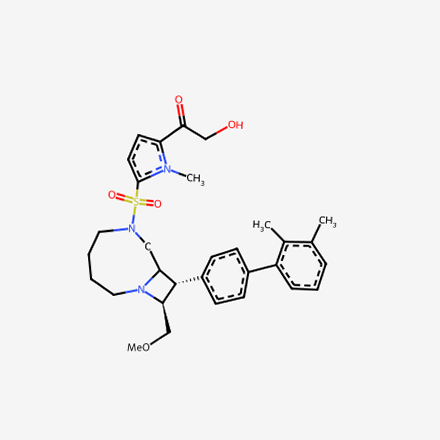 COC[C@@H]1[C@@H](c2ccc(-c3cccc(C)c3C)cc2)C2CN(S(=O)(=O)c3ccc(C(=O)CO)n3C)CCCCN21